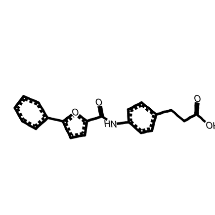 O=C(O)CCc1ccc(NC(=O)c2ccc(-c3ccccc3)o2)cc1